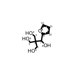 OCC(CO)(CO)C(O)c1ccco1